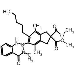 CCCCCc1c(C)c2c(c(C)c1B1Nc3ccccc3C(=O)N1C)CC(C(=O)OC)(C(=O)OC)C2